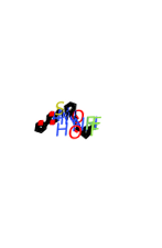 O=C(CNC(=O)c1cccc(C(F)(F)F)c1)N[C@@H]1CCCC[C@@H]1NC(=S)c1ccc(-c2ccccc2)cc1